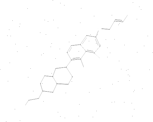 CC=CCOc1cc(F)c2c(F)c(C3CCC4CC(CCC)CCC4C3)ccc2c1